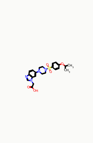 CC(C)Oc1ccc(S(=O)(=O)N2CCN(c3ccc4ncn(CC(=O)O)c4c3)CC2)cc1